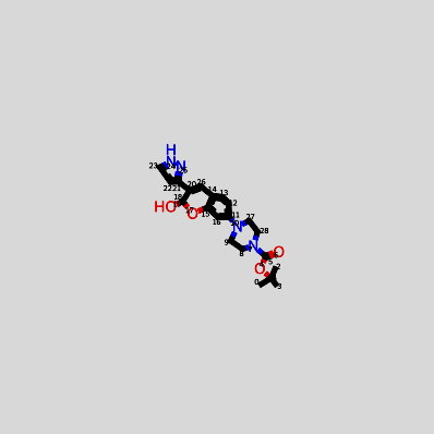 CC(C)(C)OC(=O)N1CCN(c2ccc3c(c2)OC(O)C(c2cc[nH]n2)=C3)CC1